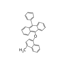 Cc1ccc(Oc2c3ccccc3c(-c3ccccc3)c3ccccc23)c2ccccc12